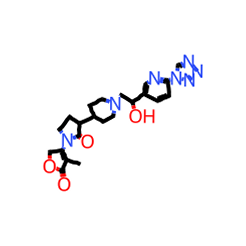 CC1=C(N2CCC(C3CCN(CC(O)c4ccc(-n5cnnn5)nc4)CC3)C2=O)COC1=O